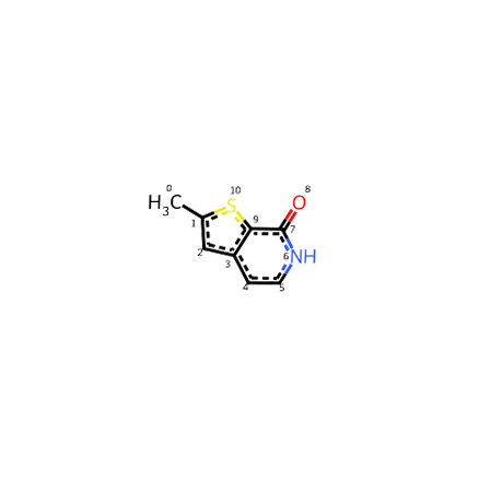 Cc1cc2cc[nH]c(=O)c2s1